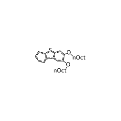 CCCCCCCCOc1cc2sc3ccccc3c2cc1OCCCCCCCC